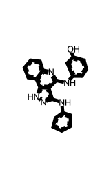 Oc1cccc(Nc2nc3ccccc3c3[nH]nc(Nc4ccccc4)c23)c1